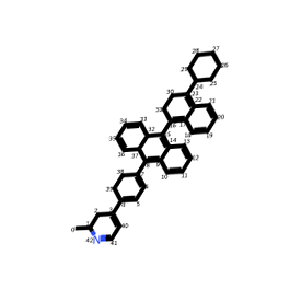 CC1CC(C2=CC=C(C3=c4ccccc4=C(C4=c5ccccc5=C(C5CCCCC5)CC4)C4C=CC=CC34)CC2)=CC=N1